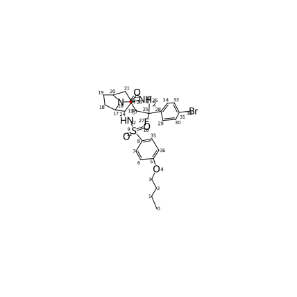 CCCCOc1ccc(S(=O)(=O)N[C@H](C(=O)N2C3CCC2CC(N)C3)C(F)(F)c2ccc(Br)cc2)cc1